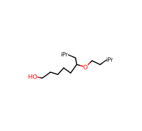 CC(C)CCOC(CCCCCO)CC(C)C